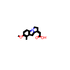 COc1ccc2c(cc3n2CCC3=CC(=O)O)c1C